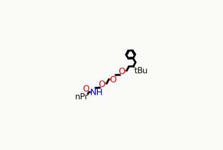 CCCC(=O)NCCOCCOCCOCCC(Cc1ccccc1)C(C)(C)C